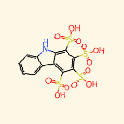 O=S(=O)(O)c1c(S(=O)(=O)O)c(S(=O)(=O)O)c2c([nH]c3ccccc32)c1S(=O)(=O)O